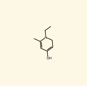 CCN1CC=C(O)C=C1C